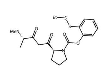 CCSSc1ccccc1OC(=O)N1CCC[C@H]1C(=O)CC(=O)[C@H](C)NC